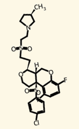 C[C@@H]1CCN(CCS(=O)(=O)CC[C@@H]2OCC[C@@]3(S(=O)(=O)c4ccc(Cl)cc4)c4c(F)ccc(F)c4OC[C@@H]23)C1